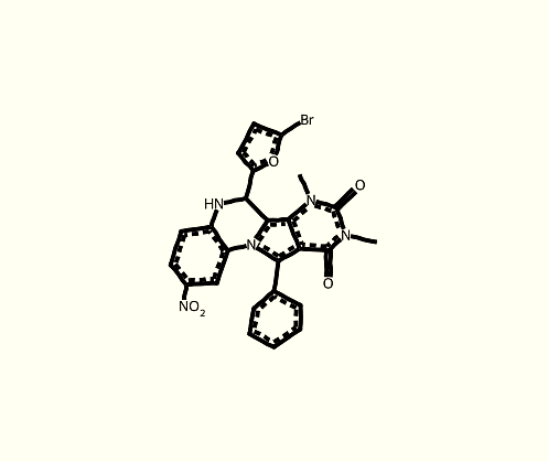 Cn1c(=O)c2c(-c3ccccc3)n3c(c2n(C)c1=O)C(c1ccc(Br)o1)Nc1ccc([N+](=O)[O-])cc1-3